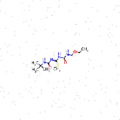 CCOCNC(=O)NC(=NC(=O)NC(C)(C)C)SC